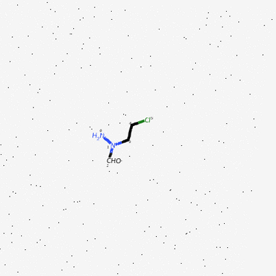 NN([C]=O)CCCl